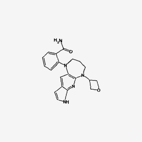 NC(=O)c1ccccc1N1CCCN(C2COC2)c2nc3[nH]ccc3cc21